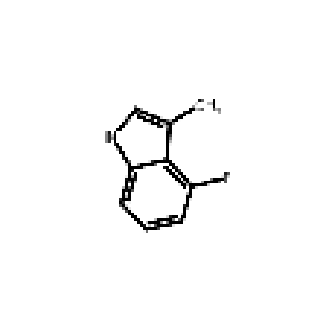 Cc1[c][nH]c2cccc(F)c12